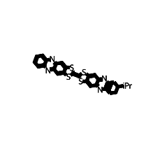 CC(C)C1CC2C=CC1c1nc3cc4c(cc3nc12)SC(=C1Sc2cc3nc5ccccc5nc3cc2S1)S4